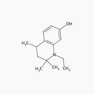 CCN1c2cc(O)ccc2C(C)CC1(C)C